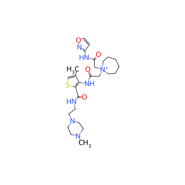 Cc1csc(C(=O)NCCN2CCN(C)CC2)c1NC(=O)C[N+]1(CC(=O)Nc2ccon2)CCCCCC1